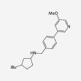 CCC(C)C1CCC(NCc2ccc(-c3cncc(OC)c3)cc2)C1